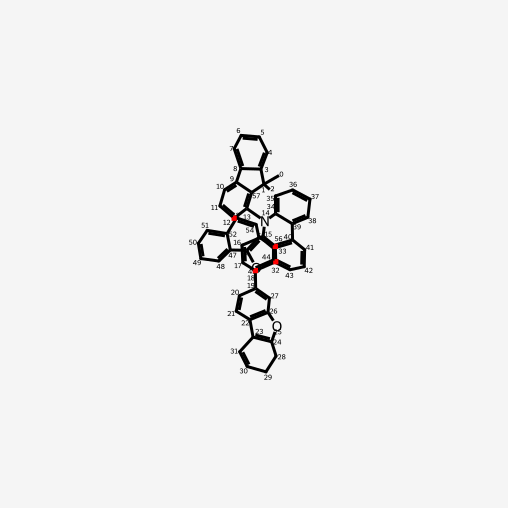 CC1(C)c2ccccc2-c2cccc(N(c3ccc(-c4ccc5c6c(oc5c4)CCC=C6)cc3)c3ccccc3-c3cccc4oc5c6ccccc6ccc5c34)c21